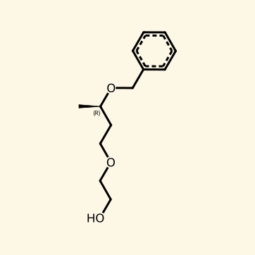 C[C@H](CCOCCO)OCc1ccccc1